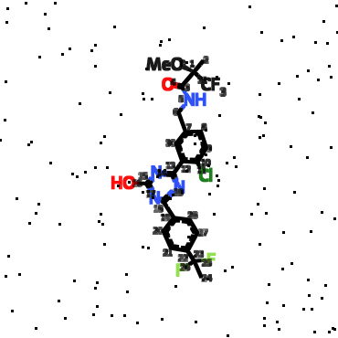 CO[C@](C)(C(=O)NCc1ccc(Cl)c(-c2nc(O)nc(-c3ccc(C(C)(F)F)cc3)n2)c1)C(F)(F)F